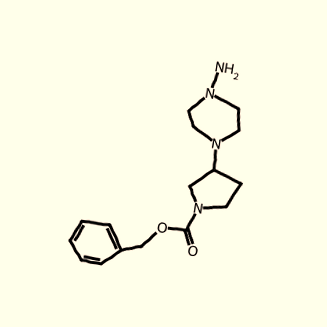 NN1CCN(C2CCN(C(=O)OCc3ccccc3)C2)CC1